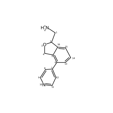 NCC1OCc2c(-c3ccncc3)cccc21